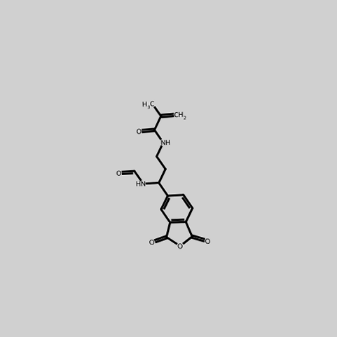 C=C(C)C(=O)NCCC(NC=O)c1ccc2c(c1)C(=O)OC2=O